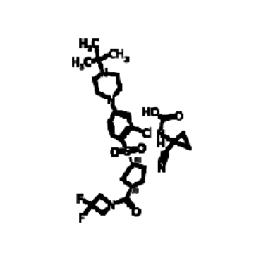 CC(C)(C)N1CCN(c2ccc(S(=O)(=O)[C@@H]3CC[C@@H](C(=O)N4CC(F)(F)C4)C3)c(Cl)c2)CC1.N#CC1(NC(=O)O)CC1